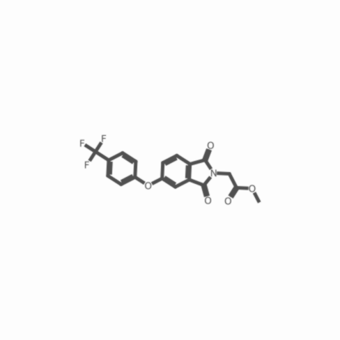 COC(=O)CN1C(=O)c2ccc(Oc3ccc(C(F)(F)F)cc3)cc2C1=O